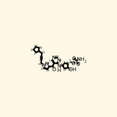 NS(=O)(=O)OC[C@H]1C[C@@H](Nc2ncncc2C(=O)c2ccn(CC#CCC3CCCC3)n2)C[C@@H]1O